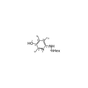 CCCCCCNc1nc(C)c(O)c(C)c1C